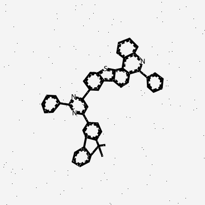 CC1(C)c2ccccc2-c2cc(-c3cc(-c4ccc5sc6c(ccc7c(-c8ccccc8)nc8ccccc8c76)c5c4)nc(-c4ccccc4)n3)ccc21